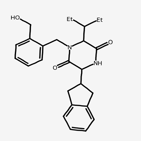 CCC(CC)C1C(=O)NC(C2Cc3ccccc3C2)C(=O)N1Cc1ccccc1CO